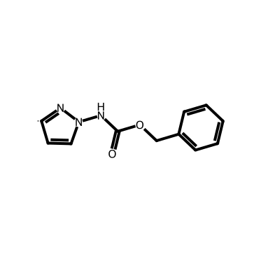 O=C(Nn1cc[c]n1)OCc1ccccc1